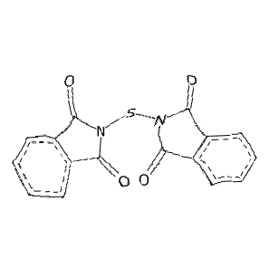 O=C1c2ccccc2C(=O)N1SN1C(=O)c2ccccc2C1=O